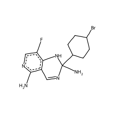 Nc1ncc(F)c2c1C=NC(N)(C1CCC(Br)CC1)N2